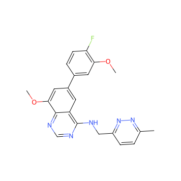 COc1cc(-c2cc(OC)c3ncnc(NCc4ccc(C)nn4)c3c2)ccc1F